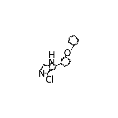 Clc1nccc2[nH]c(-c3cccc(OCc4ccccc4)c3)cc12